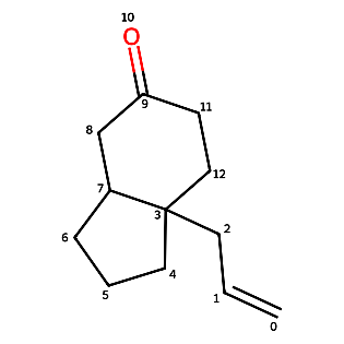 C=CCC12CCCC1CC(=O)CC2